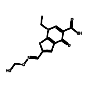 CCn1cc(C(=O)O)c(=O)c2cc(C=NOCO)sc21